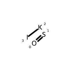 O=S.[K][I]